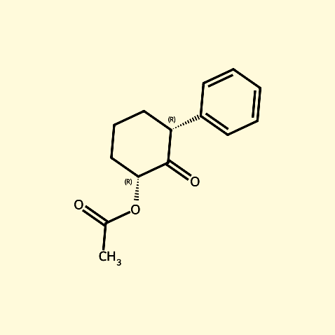 CC(=O)O[C@@H]1CCC[C@H](c2ccccc2)C1=O